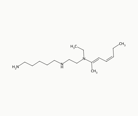 CC/C=C\C=C(/C)N(CC)CCNCCCCCN